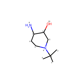 CC(C)(C)N1CCC(N)C(O)C1